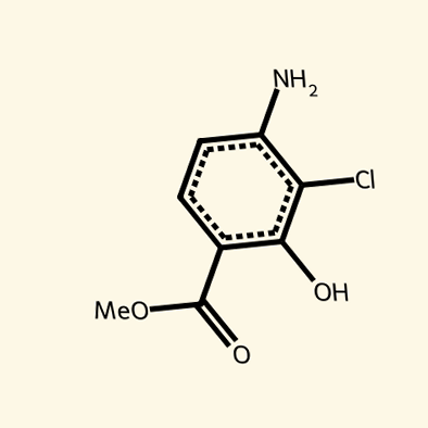 COC(=O)c1ccc(N)c(Cl)c1O